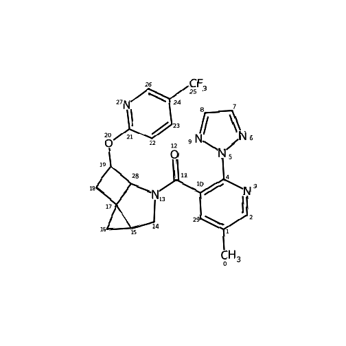 Cc1cnc(-n2nccn2)c(C(=O)N2CC3CC34CC(Oc3ccc(C(F)(F)F)cn3)C24)c1